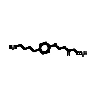 NCCCCc1ccc(OCCNCC(=O)O)cc1